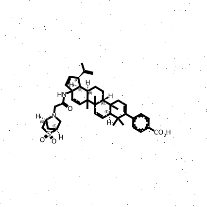 C=C(C)[C@@H]1C=CC2(NC(=O)CN3C[C@@H]4C[C@H]3CS4(=O)=O)C=CC3(C)[C@H](CC[C@@H]4C5(C)CC=C(c6ccc(C(=O)O)cc6)C(C)(C)[C@H]5C=CC43C)[C@H]12